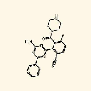 Cc1ccc(C#N)c(-c2nc(N)nc(-c3ccccc3)n2)c1C(=O)N1CCNCC1